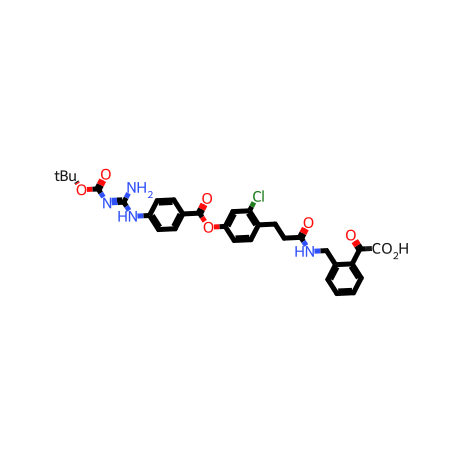 CC(C)(C)OC(=O)/N=C(\N)Nc1ccc(C(=O)Oc2ccc(CCC(=O)NCc3ccccc3C(=O)C(=O)O)c(Cl)c2)cc1